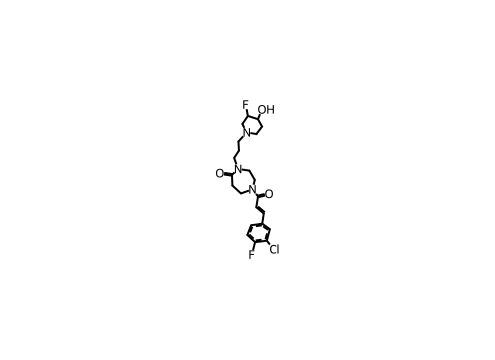 O=C(/C=C/c1ccc(F)c(Cl)c1)N1CCC(=O)N(CCCN2CCC(O)C(F)C2)CC1